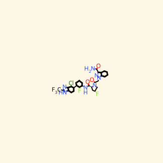 NC(=O)c1nn(CC(=O)N2C[C@H](F)C[C@H]2C(=O)Nc2cccc(-c3ccc4[nH]c(C(F)(F)F)nc4c3Cl)c2F)c2ccccc12